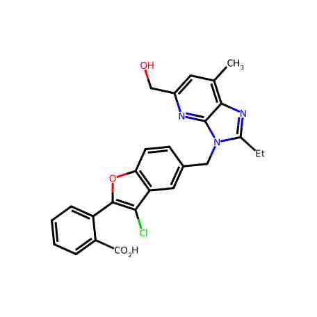 CCc1nc2c(C)cc(CO)nc2n1Cc1ccc2oc(-c3ccccc3C(=O)O)c(Cl)c2c1